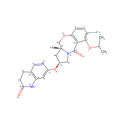 CC(C)Oc1c(F)ccc2c1C(=O)N1C[C@@H](Oc3cc4c(cn3)CCC(=O)N4)C[C@@H]1CO2